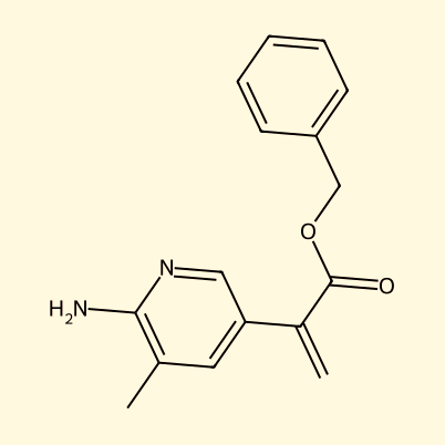 C=C(C(=O)OCc1ccccc1)c1cnc(N)c(C)c1